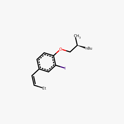 CC/C=C\c1ccc(OC[C@@H](C)CCCC)c(I)c1